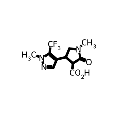 CN1CC(c2cnn(C)c2C(F)(F)F)C(C(=O)O)C1=O